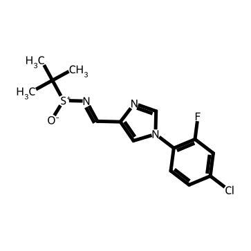 CC(C)(C)[S+]([O-])N=Cc1cn(-c2ccc(Cl)cc2F)cn1